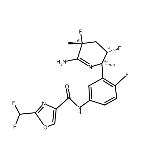 C[C@@]1(F)C[C@H](F)[C@@](C)(c2cc(NC(=O)c3coc(C(F)F)n3)ccc2F)N=C1N